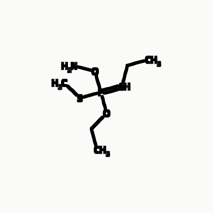 CCOP(ON)(SC)=[SH]CC